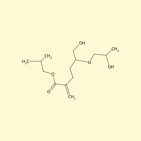 C=C(CCC(CO)OCC(C)O)C(=O)OCC(C)C